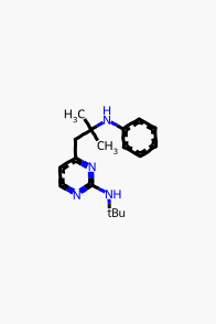 CC(C)(C)Nc1nccc(CC(C)(C)Nc2ccccc2)n1